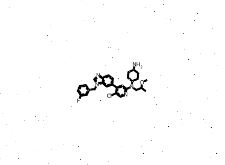 COC(C)CN(c1cc(-c2ccc3ncn(Cc4cccc(F)c4)c3c2)c(Cl)cn1)C1CCC(N)CC1